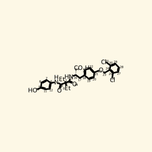 CCC(CC)(C(=O)Nc1ccc(O)cc1)C(=O)N[C@@H](Cc1ccc(OCc2c(Cl)cccc2Cl)cc1)C(=O)O